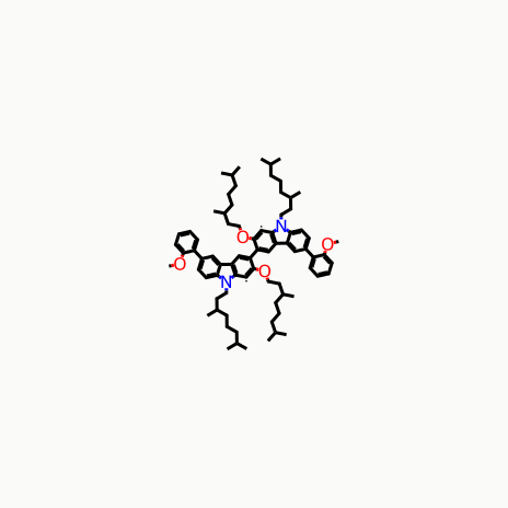 COc1ccccc1-c1ccc2c(c1)c1cc(-c3cc4c5cc(-c6ccccc6OC)ccc5n(CCC(C)CCCC(C)C)c4[c]c3OCCC(C)CCCC(C)C)c(OCCC(C)CCCC(C)C)[c]c1n2CCC(C)CCCC(C)C